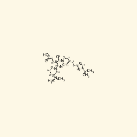 CC(C)c1csc(CCc2ccn3c(=O)c(C=CC(=O)O)c(N4CCCC(N(C)C)C4)nc3c2)n1